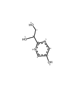 OCC(O)c1ncc(O)cn1